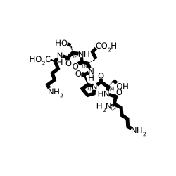 NCCCC[C@H](NC(=O)[C@H](CO)NC(=O)[C@H](CCC(=O)O)NC(=O)[C@@H]1CCCN1C(=O)[C@H](CO)NC(=O)[C@@H](N)CCCCN)C(=O)O